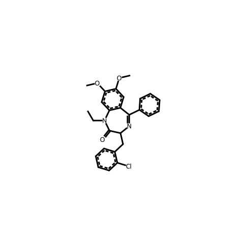 CCN1C(=O)C(Cc2ccccc2Cl)N=C(c2ccccc2)c2cc(OC)c(OC)cc21